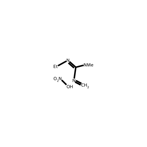 C=NC(=NCC)NC.O=[N+]([O-])O